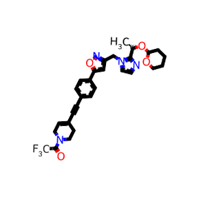 C[C@H](OC1CCCCO1)c1nccn1Cc1cc(-c2ccc(C#CC3=CCN(C(=O)C(F)(F)F)CC3)cc2)on1